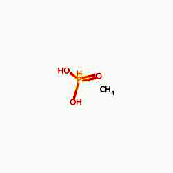 C.O=[PH](O)O